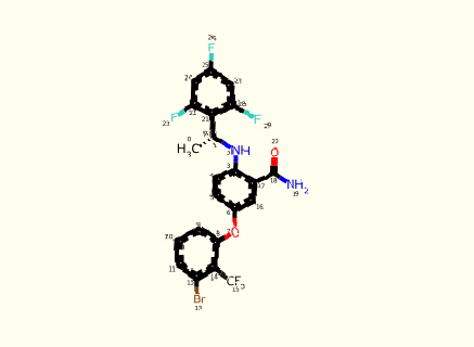 C[C@@H](Nc1ccc(Oc2cccc(Br)c2C(F)(F)F)cc1C(N)=O)c1c(F)cc(F)cc1F